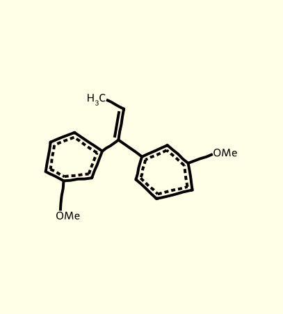 CC=C(c1cccc(OC)c1)c1cccc(OC)c1